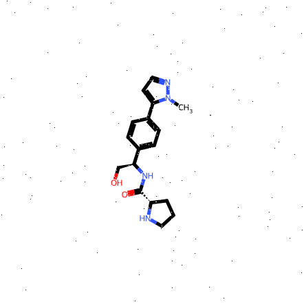 Cn1nccc1-c1ccc([C@H](CO)NC(=O)[C@@H]2CCCN2)cc1